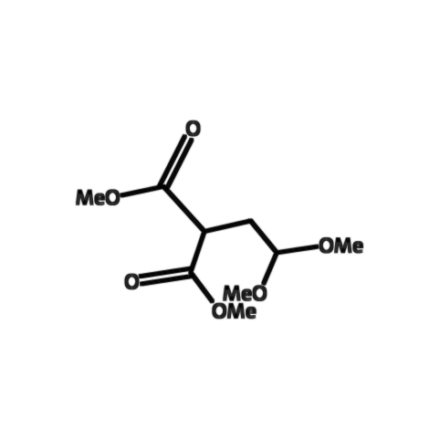 COC(=O)C(CC(OC)OC)C(=O)OC